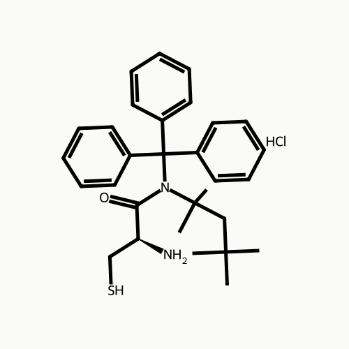 CC(C)(C)CC(C)(C)N(C(=O)[C@@H](N)CS)C(c1ccccc1)(c1ccccc1)c1ccccc1.Cl